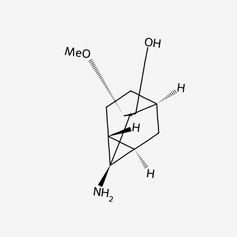 CO[C@H]1C[C@]2(CC1O)[C@H]1CC[C@@H]3[C@@H](C1)[C@]32N